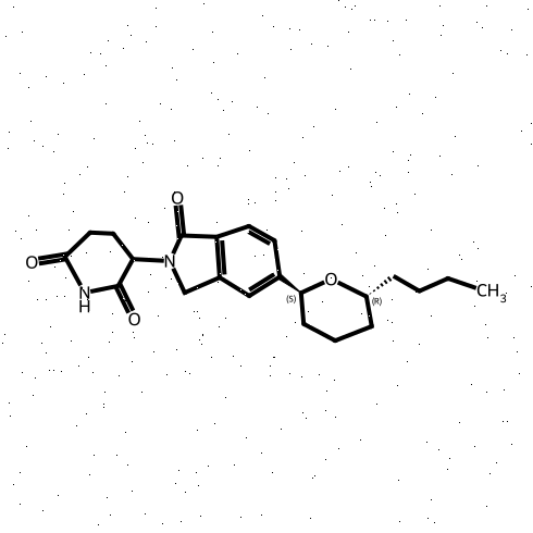 CCCC[C@@H]1CCC[C@@H](c2ccc3c(c2)CN(C2CCC(=O)NC2=O)C3=O)O1